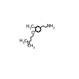 Cc1cc(CCN)ccc1OCCCN(C)C